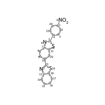 O=[N+]([O-])c1ccc(-c2nc3ccc(-c4nc5ccccc5s4)cc3s2)cc1